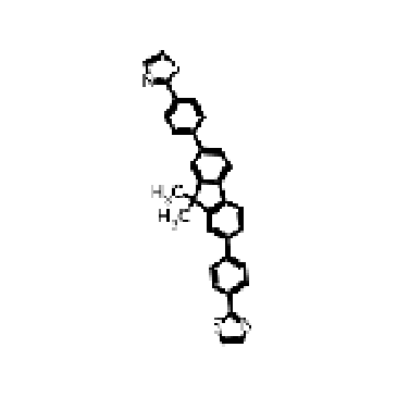 CC1(C)c2cc(-c3ccc(-c4nccs4)cc3)ccc2-c2ccc(-c3ccc(-c4nccs4)cc3)cc21